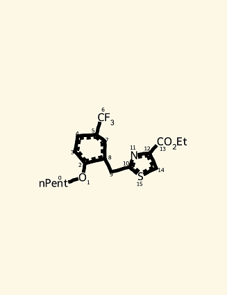 CCCCCOc1ccc(C(F)(F)F)cc1Cc1nc(C(=O)OCC)cs1